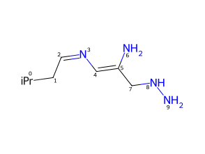 CC(C)C/C=N\C=C(/N)CNN